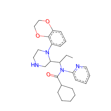 CCC(C1CNCCN1c1cccc2c1OCCO2)N(C(=O)C1CCCCC1)c1ccccn1